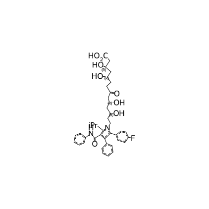 CC(C)c1c(C(=O)Nc2ccccc2)c(-c2ccccc2)c(-c2ccc(F)cc2)n1CC[C@@H](O)C[C@@H](O)CC(=O)CC[C@@H](O)C[C@@H](O)CC(=O)O